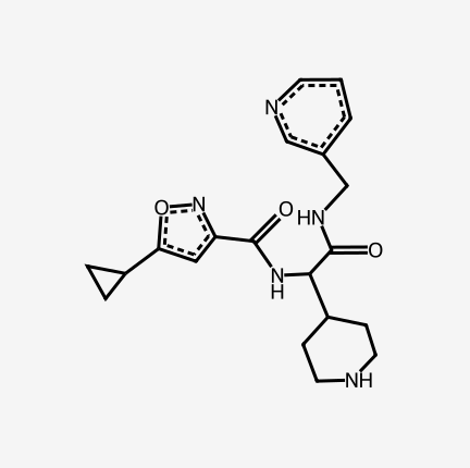 O=C(NC(C(=O)NCc1cccnc1)C1CCNCC1)c1cc(C2CC2)on1